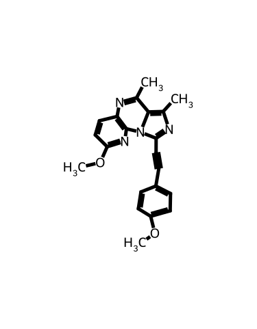 COc1ccc(C#Cc2nc(C)c3c(C)nc4ccc(OC)nc4n23)cc1